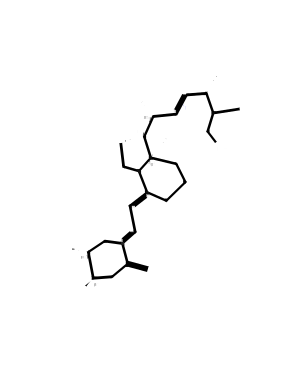 C=C1C[C@@H](O)[C@H](O)CC1=CC=C1CCC[C@@]2(C)C1CC[C@@H]2[C@H](C)/C=C/[C@H](C)C(C)CO